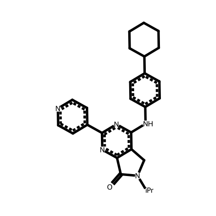 CC(C)N1Cc2c(Nc3ccc(C4CCCCC4)cc3)nc(-c3ccncc3)nc2C1=O